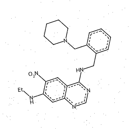 CCNc1cc2ncnc(NCc3ccccc3CN3CCCCC3)c2cc1[N+](=O)[O-]